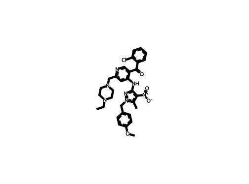 CCN1CCN(Cc2cc(Nc3nn(Cc4ccc(OC)cc4)c(C)c3[N+](=O)[O-])c(C(=O)c3ccccc3Cl)cn2)CC1